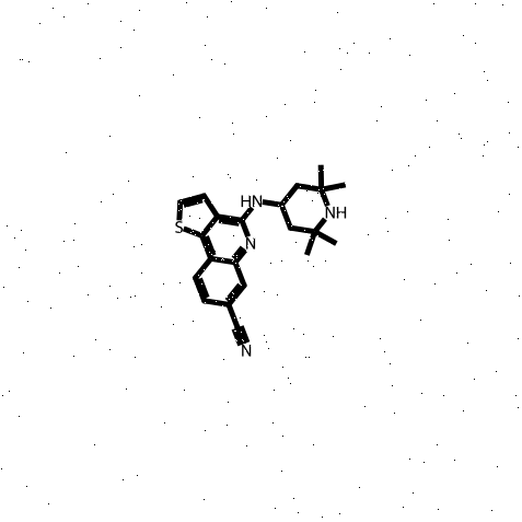 CC1(C)CC(Nc2nc3cc(C#N)ccc3c3sccc23)CC(C)(C)N1